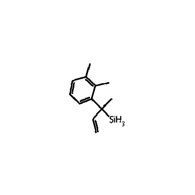 C=CC(C)([SiH3])c1cccc(C)c1C